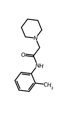 Cc1ccccc1NC(=O)CN1CCCCC1